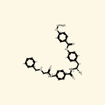 CCCCCCCOc1ccc(C(=O)Oc2ccc(C[C@H](NC(=O)c3ccc(NC(=O)COCc4ccccc4)cc3)C(C)=O)cc2)cc1